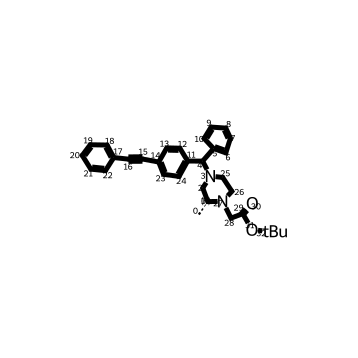 C[C@@H]1CN(C(c2ccccc2)c2ccc(C#Cc3ccccc3)cc2)CCN1CC(=O)OC(C)(C)C